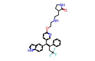 O=C1NCCC1CCNCCOc1ccc(/C(=C(/CC(F)(F)F)c2ccccc2)c2ccc3[nH]ccc3c2)cn1